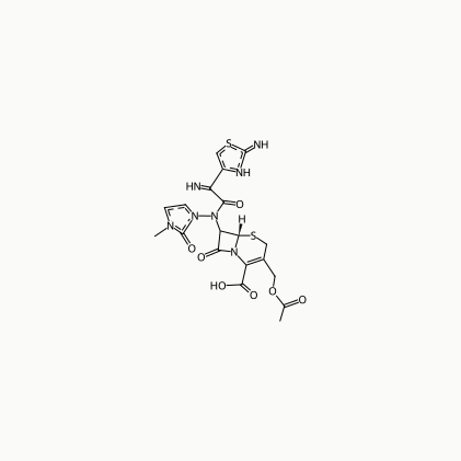 CC(=O)OCC1=C(C(=O)O)N2C(=O)C(N(C(=O)C(=N)c3csc(=N)[nH]3)n3ccn(C)c3=O)[C@@H]2SC1